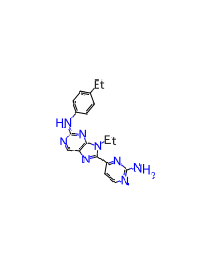 CCc1ccc(Nc2ncc3nc(-c4ccnc(N)n4)n(CC)c3n2)cc1